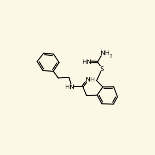 N=C(Cc1ccccc1CSC(=N)N)NCCc1ccccc1